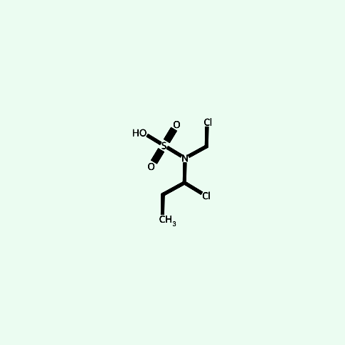 CCC(Cl)N(CCl)S(=O)(=O)O